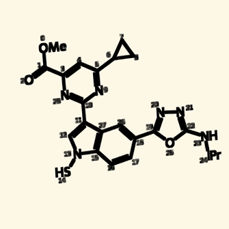 COC(=O)c1cc(C2CC2)nc(-c2cn(S)c3ccc(-c4nnc(NC(C)C)o4)cc23)n1